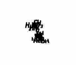 C[C@@H](N)C(=O)Nc1cccc(CNc2ncnc3c2ncn3[C@@H]2O[C@H](CO)[C@@H](O)[C@H]2O)c1